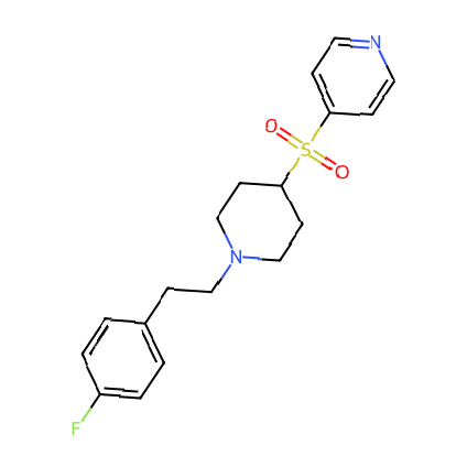 O=S(=O)(c1ccncc1)C1CCN(CCc2ccc(F)cc2)CC1